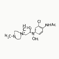 CC(=O)Nc1ccc(N(O)C(=O)C[N+]2(C)CCN(C)CC2)cc1Cl